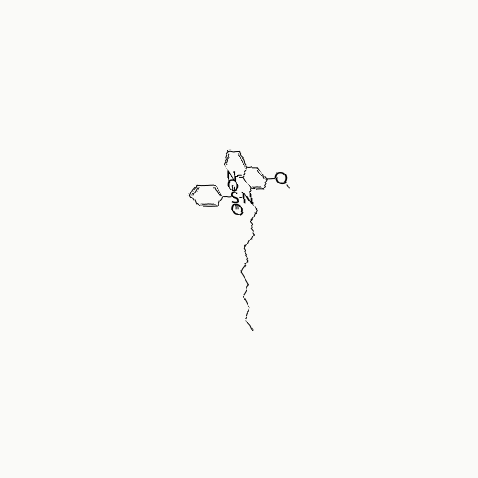 CCCCCCCCCCCN(c1cc(OC)cc2cccnc12)S(=O)(=O)c1ccccc1